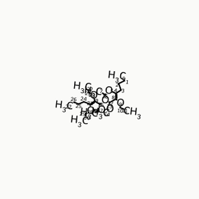 CCCCC(OCC)=C(OCC)C(OC)OC(OC)C(OCC)=C(CCCC)OCC